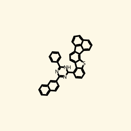 c1ccc(C2=NC(c3ccc4ccccc4c3)=NC(c3cccc4sc5c6c(ccc5c34)-c3cccc4cccc-6c34)N2)cc1